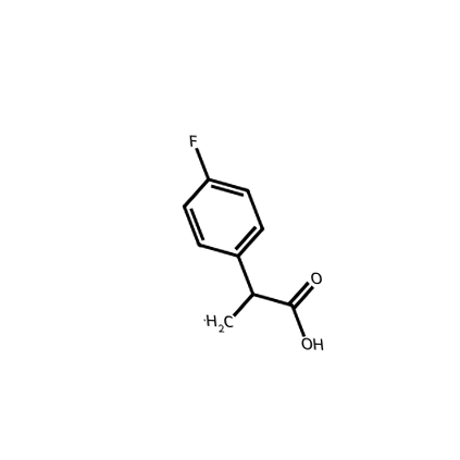 [CH2]C(C(=O)O)c1ccc(F)cc1